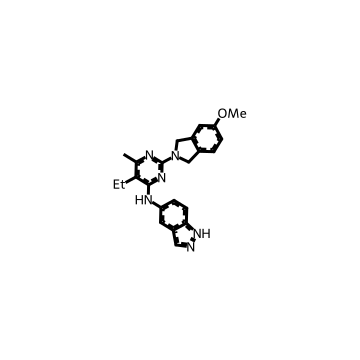 CCc1c(C)nc(N2Cc3ccc(OC)cc3C2)nc1Nc1ccc2[nH]ncc2c1